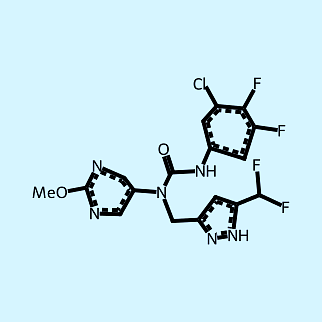 COc1ncc(N(Cc2cc(C(F)F)[nH]n2)C(=O)Nc2cc(F)c(F)c(Cl)c2)cn1